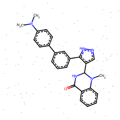 CN(C)c1ccc(-c2cccc(-c3[nH]ncc3C3NC(=O)c4ccccc4N3C)c2)cc1